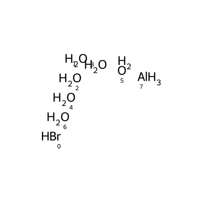 Br.O.O.O.O.O.O.[AlH3]